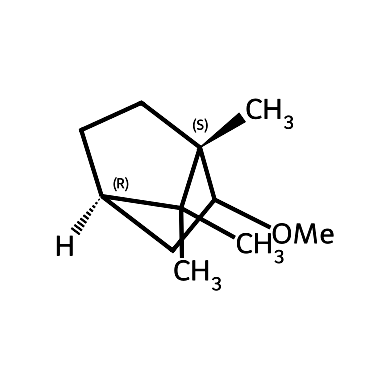 [CH2]OC1C[C@H]2CC[C@@]1(C)C2(C)C